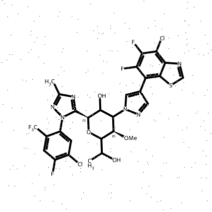 CO[C@H]1C(C(C)O)O[C@@H](c2nc(C)nn2-c2cc(Cl)c(F)cc2C(F)(F)F)C(O)C1n1cc(-c2c(F)c(F)c(Cl)c3ncsc23)cn1